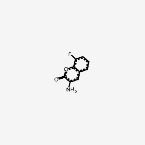 Nc1cc2cccc(F)c2oc1=O